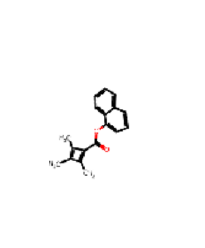 CC1=C(C)C(C(=O)Oc2cccc3ccccc23)=C1C